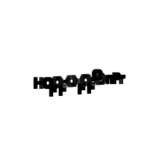 CCCC1CCC(c2ccc(-c3ccc(-c4ccc(O)c(F)c4F)cc3)c(F)c2F)OC1